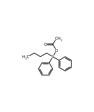 CCCC[Si](OC(C)=O)(c1ccccc1)c1ccccc1